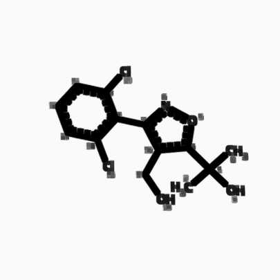 CC(C)(O)c1onc(-c2c(Cl)cccc2Cl)c1CO